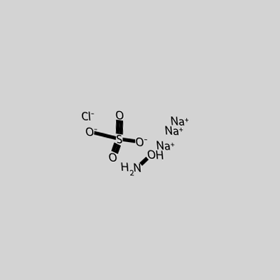 NO.O=S(=O)([O-])[O-].[Cl-].[Na+].[Na+].[Na+]